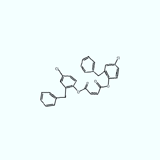 O=C(/C=C\C(=O)Oc1ccc(Cl)cc1Cc1ccccc1)Oc1ccc(Cl)cc1Cc1ccccc1